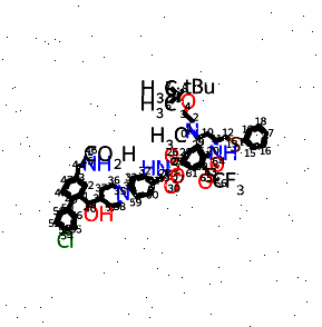 CN(CCO[Si](C)(C)C(C)(C)C)CCC(CSc1ccccc1)Nc1ccc(S(=O)(=O)NC(=O)c2ccc(N3CCC(C(O)c4cc(CNC(=O)O)ccc4-c4ccc(Cl)cc4)CC3)cc2)cc1S(=O)(=O)C(F)(F)F